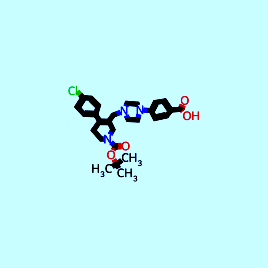 CC(C)(C)OC(=O)N1CCC(c2ccc(Cl)cc2)=C(CN2CCN(c3ccc(C(=O)O)cc3)CC2)C1